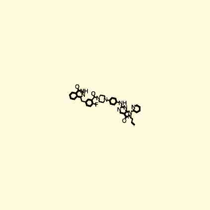 C=CCn1c(=O)c2cnc(Nc3ccc(N4CCN(C(=O)c5cc(Cc6n[nH]c(=O)c7ccccc67)ccc5F)CC4)cc3)nc2n1-c1ccccn1